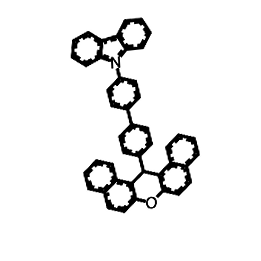 c1ccc2c3c(ccc2c1)Oc1ccc2ccccc2c1C3c1ccc(-c2ccc(-n3c4ccccc4c4ccccc43)cc2)cc1